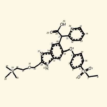 CCS(=O)(=O)c1ccc(Oc2cc3[nH]c(COCC[Si](C)(C)C)nc3cc2C(C(=O)O)c2ccccn2)cc1